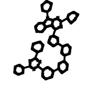 c1ccc(-c2nc(-c3ccccc3)nc(-c3cccc(-c4cccc(-c5cccc(-c6cccc(-c7nc(-c8ccccc8)nc8c7c7ccccc7n8-c7ccccc7)c6)c5)c4)c3)n2)cc1